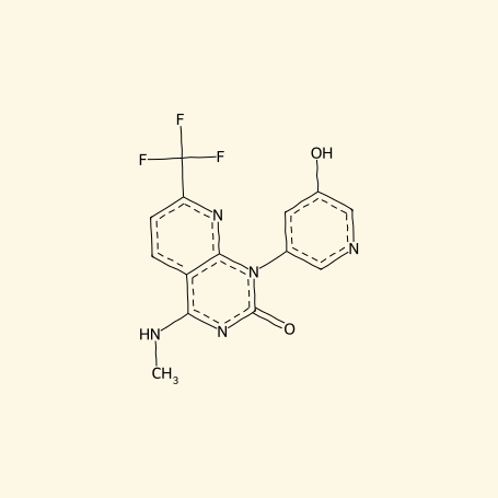 CNc1nc(=O)n(-c2cncc(O)c2)c2nc(C(F)(F)F)ccc12